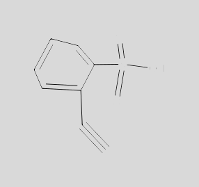 C#Cc1ccccc1S(=O)(=O)O